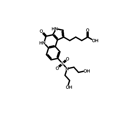 O=C(O)CCCc1c[nH]c2c(=O)[nH]c3ccc(S(=O)(=O)N(CCO)CCO)cc3c12